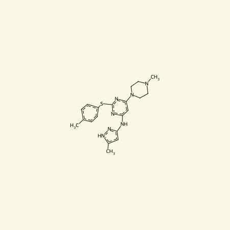 Cc1ccc(Sc2nc(Nc3cc(C)[nH]n3)cc(N3CCN(C)CC3)n2)cc1